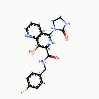 O=C(NCc1ccc(F)cc1)c1nc(N2CCNC2=O)c2cccnc2c1O